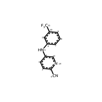 N#Cc1ccc(Nc2cccc(C(F)(F)F)c2)cn1